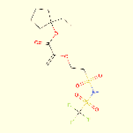 C=C(OCCS(=O)(=O)NS(=O)(=O)C(F)(F)F)C(=O)OC1(CC)CCCC1